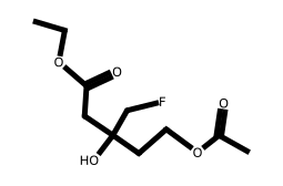 CCOC(=O)CC(O)(CF)CCOC(C)=O